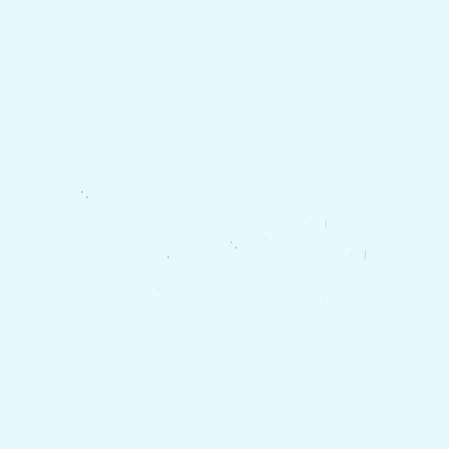 Cn1cc2c(cc1=O)C1(CCN(C(=O)OC(C)(C)C)CC1)OC2